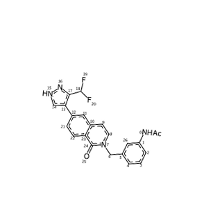 CC(=O)Nc1cccc(Cn2ccc3cc(-c4c[nH]nc4C(F)F)ccc3c2=O)c1